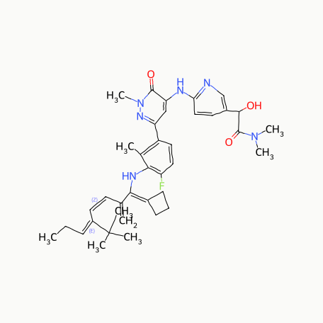 C=C(/C=C\C(=C/CC)C(C)(C)C)C(Nc1c(F)ccc(-c2cc(Nc3ccc(C(O)C(=O)N(C)C)cn3)c(=O)n(C)n2)c1C)=C1CCC1